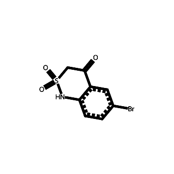 O=C1CS(=O)(=O)Nc2ccc(Br)cc21